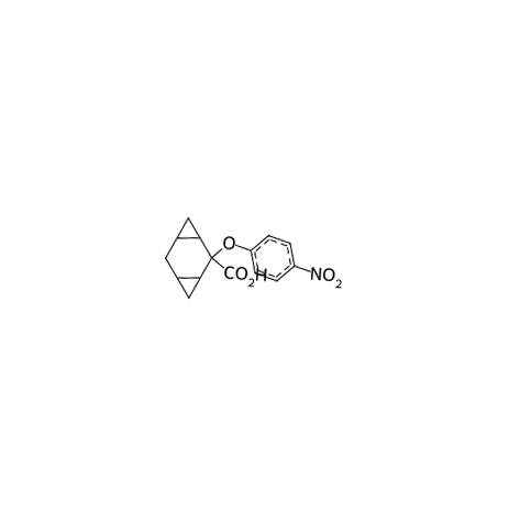 O=C(O)C1(Oc2ccc([N+](=O)[O-])cc2)C2CC2CC2CC21